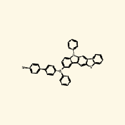 Brc1ccc(-c2ccc(N(c3ccccc3)c3ccc4c(c3)c3cc5sc6ccccc6c5cc3n4-c3ccccc3)cc2)cc1